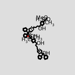 COC(=O)C(C)(C)c1ccc([C@H](O)CCCN2CCC(C(OC(=O)C(C)(C)c3ccc(C(O)CCCN4CCC(C(O)(c5ccccc5)c5ccccc5)CC4)cc3C)(c3ccccc3)c3ccccc3)CC2)cc1